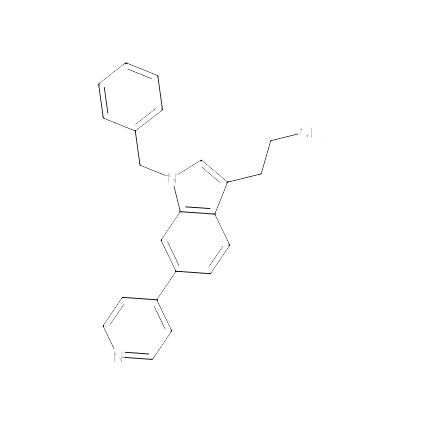 NCCc1cn(Cc2ccccc2)c2cc(-c3ccncc3)ccc12